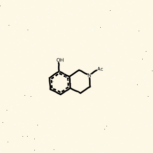 CC(=O)N1CCc2cccc(O)c2C1